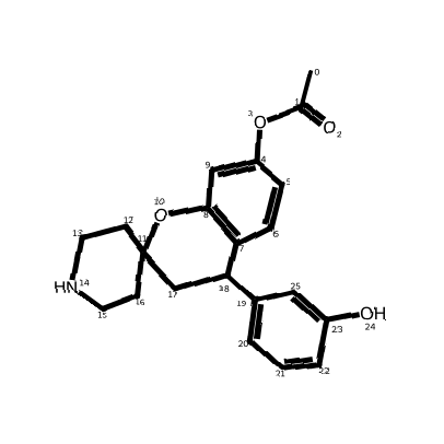 CC(=O)Oc1ccc2c(c1)OC1(CCNCC1)CC2c1cccc(O)c1